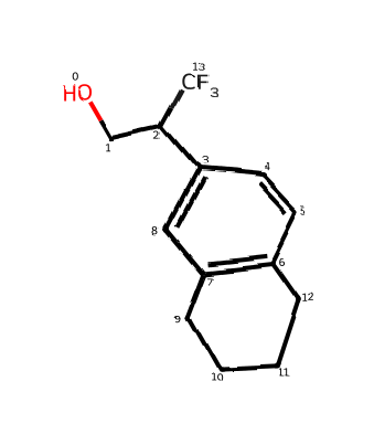 OCC(c1ccc2c(c1)CCCC2)C(F)(F)F